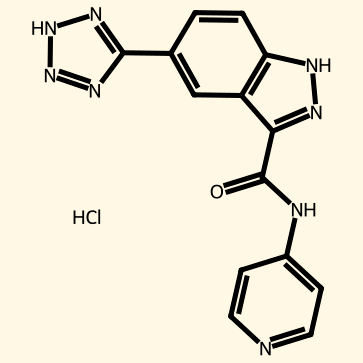 Cl.O=C(Nc1ccncc1)c1n[nH]c2ccc(-c3nn[nH]n3)cc12